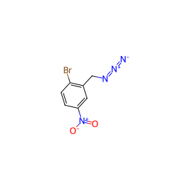 [N-]=[N+]=NCc1cc([N+](=O)[O-])ccc1Br